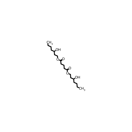 CCCCC(O)CCOC(=O)CCCC(=O)OCCC(O)CCCC